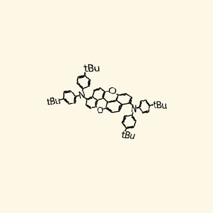 CC(C)(C)c1ccc(N(c2ccc(C(C)(C)C)cc2)c2ccc3oc4ccc5c(N(c6ccc(C(C)(C)C)cc6)c6ccc(C(C)(C)C)cc6)ccc6oc7ccc2c3c7-c4c65)cc1